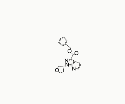 O=C(OCc1ccccc1)c1nn([C@@H]2CCOC2)c2ncccc12